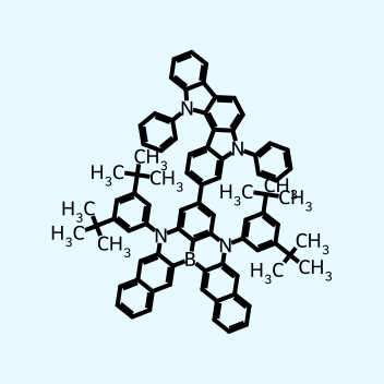 CC(C)(C)c1cc(N2c3cc4ccccc4cc3B3c4cc5ccccc5cc4N(c4cc(C(C)(C)C)cc(C(C)(C)C)c4)c4cc(-c5ccc6c7c(ccc8c9ccccc9n(-c9ccccc9)c87)n(-c7ccccc7)c6c5)cc2c43)cc(C(C)(C)C)c1